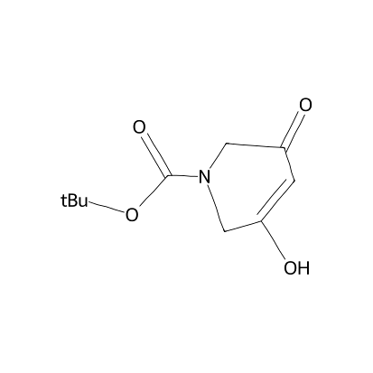 CC(C)(C)OC(=O)N1CC(=O)C=C(O)C1